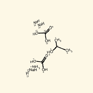 CC(C)O.N.O=C(O)O.O=C(O)O.[H+].[NaH].[NaH].[NaH]